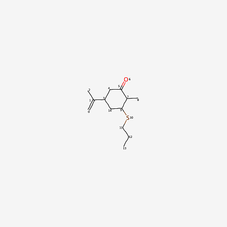 C=C(C)C1CC(=O)C(C)C(SCCC)C1